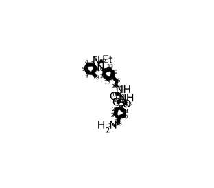 CCc1nc2cccc(C)c2n1-c1ccc(CCNC(=O)NS(=O)(=O)c2ccc(CN)cc2)cc1